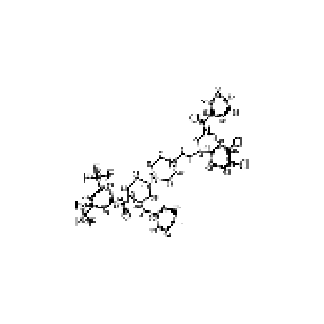 CN(CC(CCN1CCN([C@@H]2CCN(C(=O)c3cc(C(F)(F)F)cc(C(F)(F)F)c3)[C@H](Cc3ccccc3)C2)CC1)c1ccc(Cl)c(Cl)c1)C(=O)c1ccccc1